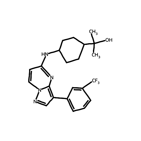 CC(C)(O)C1CCC(Nc2ccn3ncc(-c4cccc(C(F)(F)F)c4)c3n2)CC1